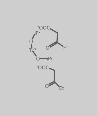 CC(C)[O][Ti+2][O]C(C)C.CCC(=O)CC(=O)[O-].CCC(=O)CC(=O)[O-]